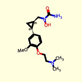 COc1cc([C@@H]2C[C@H]2CN(O)C(N)=O)ccc1OCCN(C)C